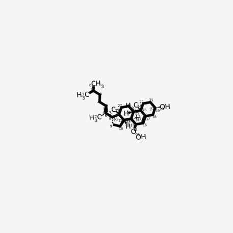 CC(C)CCC[C@@H](C)[C@H]1CC[C@H]2[C@@H]3C(OO)C=C4C[C@@H](O)CC[C@]4(C)[C@H]3CC[C@]12C